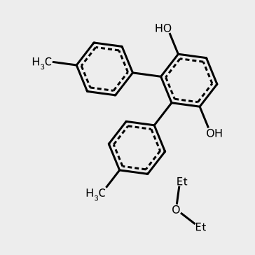 CCOCC.Cc1ccc(-c2c(O)ccc(O)c2-c2ccc(C)cc2)cc1